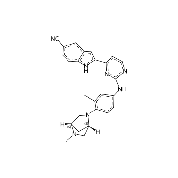 Cc1cc(Nc2nccc(-c3cc4cc(C#N)ccc4[nH]3)n2)ccc1N1C[C@@H]2C[C@H]1CN2C